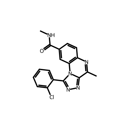 CNC(=O)c1ccc2nc(C)c3nnc(-c4ccccc4Cl)n3c2c1